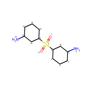 NC1CCCC(S(=O)(=O)C2CCCC(N)C2)C1